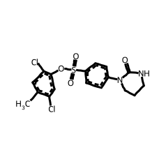 Cc1cc(Cl)c(OS(=O)(=O)c2ccc(N3CCCNC3=O)cc2)cc1Cl